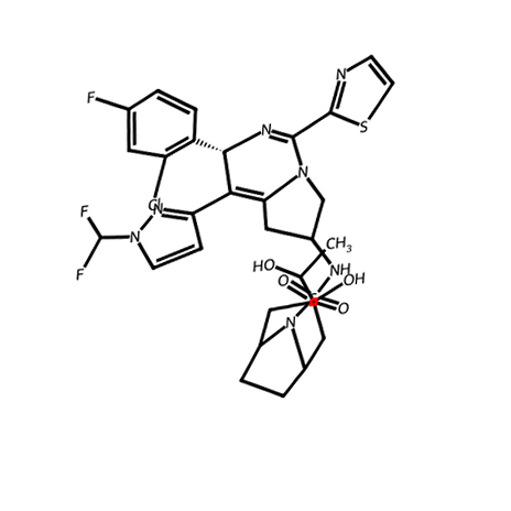 CC(O)C1(O)CC2CCC(C1)N2S(=O)(=O)NC1CC2=C(c3ccn(C(F)F)n3)[C@H](c3ccc(F)cc3Cl)N=C(c3nccs3)N2C1